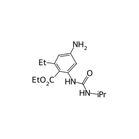 CCOC(=O)c1c(CC)cc(N)cc1NC(=O)NC(C)C